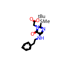 CSc1ncc(NCCc2ccccc2)c(=O)n1CC(=O)OC(C)(C)C